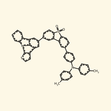 Cc1ccc(N(c2ccc(C)cc2)c2ccc(-c3ccc4c(c3)-c3cc(-c5cc6c7ccccc7n7c8sccc8c(c5)c67)ccc3S4(=O)=O)cc2)cc1